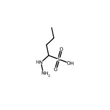 CCCC(NN)S(=O)(=O)O